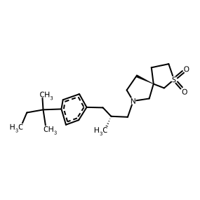 CCC(C)(C)c1ccc(C[C@@H](C)CN2CC[C@]3(CCS(=O)(=O)C3)C2)cc1